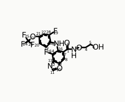 O=C(NOCCO)c1cc2ocnc2c(F)c1Nc1ccc(OC(F)(F)F)cc1F